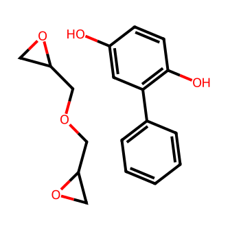 C(OCC1CO1)C1CO1.Oc1ccc(O)c(-c2ccccc2)c1